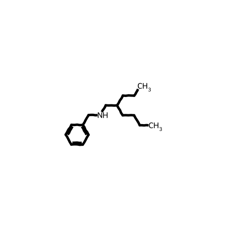 CCCCC(CCC)CNCc1ccccc1